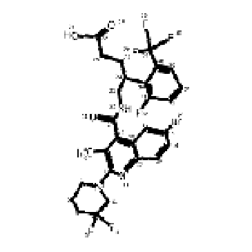 Cc1c(N2CCCC(F)(F)C2)nc2ccc(Br)cc2c1C(=O)NCC(CCC(=O)O)c1c(F)cccc1C(F)(F)F